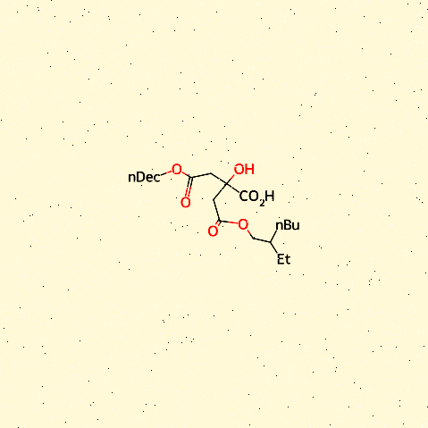 CCCCCCCCCCOC(=O)CC(O)(CC(=O)OCC(CC)CCCC)C(=O)O